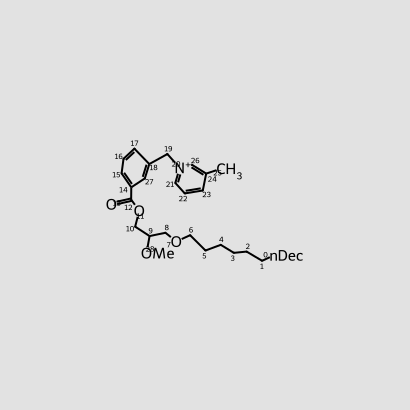 CCCCCCCCCCCCCCCCOCC(COC(=O)c1cccc(C[n+]2cccc(C)c2)c1)OC